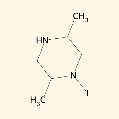 CC1CN(I)C(C)CN1